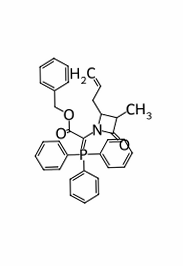 C=CCC1C(C)C(=O)N1C(C(=O)OCc1ccccc1)=P(c1ccccc1)(c1ccccc1)c1ccccc1